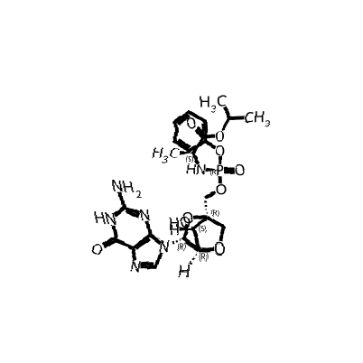 CC(C)OC(=O)[C@H](C)N[P@@](=O)(OC[C@@]12CO[C@@H]([C@H](n3cnc4c(=O)[nH]c(N)nc43)O1)[C@@H]2O)Oc1ccccc1